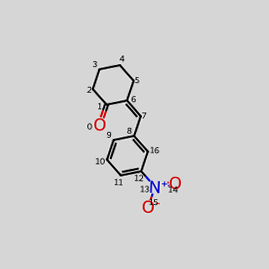 O=C1CCCC/C1=C/c1cccc([N+](=O)[O-])c1